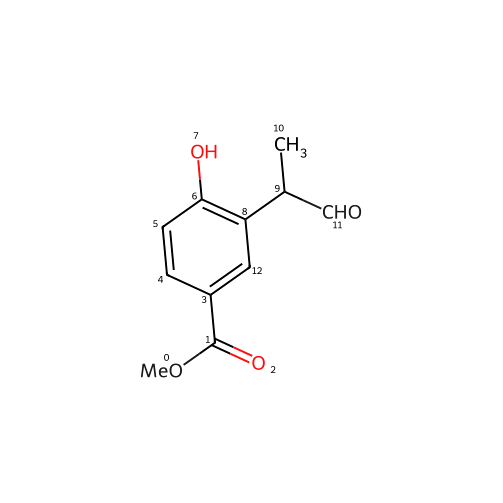 COC(=O)c1ccc(O)c(C(C)C=O)c1